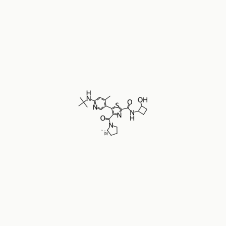 Cc1cc(NC(C)(C)C)ncc1-c1sc(C(=O)NC2CCC2O)nc1C(=O)N1CCC[C@@H]1C